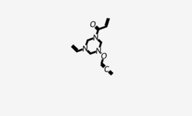 C=C=CON1CN(C=C)CN(C(=O)C=C)C1